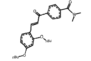 CCCCOc1ccc(C=CC(=O)c2ccc(C(=O)N(C)C)cc2)c(OCCCC)c1